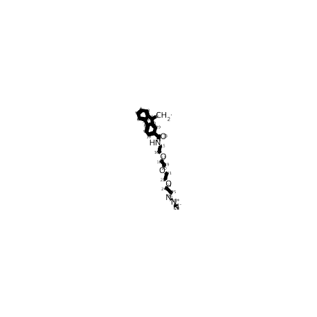 [CH2]C1c2ccccc2-c2ccc(C(=O)NCCOCCOCCOCCN=[N+]=[N-])cc21